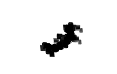 COc1cc(-c2cn(C)c(=O)c3cnccc23)cc(OC(F)(F)F)c1CN1CCC(N(C)C(=O)N2CCC(c3ccc(NC4CCC(=O)NC4=O)cc3)CC2)CC1